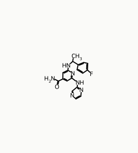 CC(Nc1cc(C(N)=O)cc(Nc2cnccn2)n1)c1ccc(F)cc1